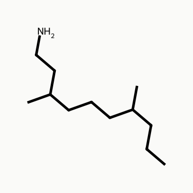 CCCC(C)CCCC(C)CCN